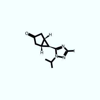 CC(C)n1nc(I)nc1[C@H]1[C@@H]2CC(=O)C[C@@H]21